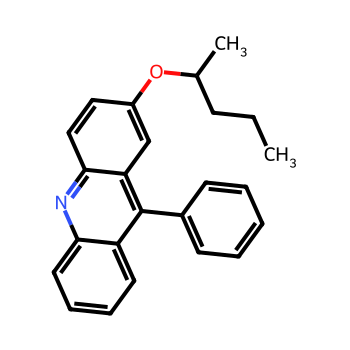 CCCC(C)Oc1ccc2nc3ccccc3c(-c3ccccc3)c2c1